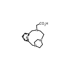 O=C(O)CN1CCN2CCN(CC2)Cc2cccc(n2)C1